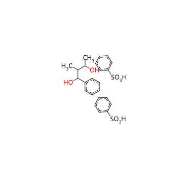 CC(O)C(C)C(O)c1ccccc1.O=S(=O)(O)c1ccccc1.O=S(=O)(O)c1ccccc1